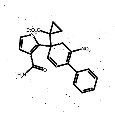 CCOC(=O)C1(C2(c3sccc3C(N)=O)C=CC(c3ccccc3)=C([N+](=O)[O-])C2)CC1